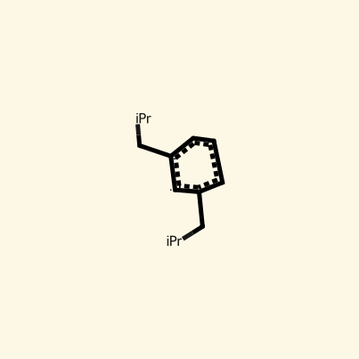 CC(C)Cc1[c]c(CC(C)C)ccc1